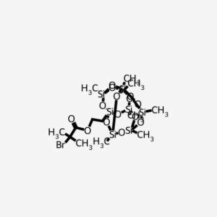 CC(C)(Br)C(=O)OCC[Si]12O[Si]3(C)O[Si]4(C)O[Si]5(C)O[Si](C)(O3)O[Si](C)(O[Si](C)(O5)O[Si](C)(O4)O1)O2